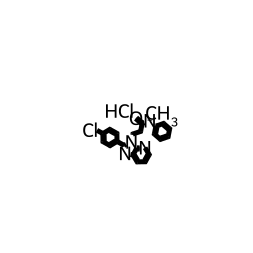 CN(C(=O)CCn1c(-c2ccc(Cl)cc2)nc2cccnc21)c1ccccc1.Cl